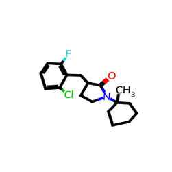 CC1(N2CCC(Cc3c(F)cccc3Cl)C2=O)CCCCC1